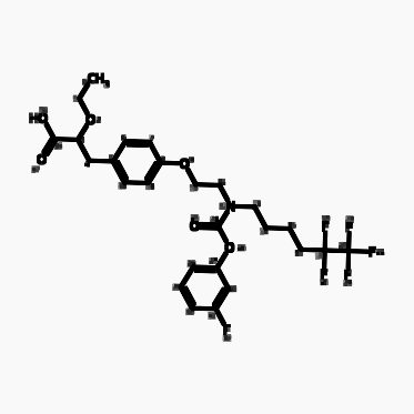 CCOC(Cc1ccc(OCCN(CCCCC(F)(F)C(F)(F)F)C(=O)Oc2cccc(F)c2)cc1)C(=O)O